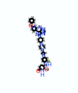 Nc1ncnc2c1c(-c1ccc(Oc3ccccc3)cc1)nn2C1CCC(N2CCN(C3CN(c4ccc(NC5CCC(=O)NC5=O)c(F)c4)C3)CC2)CC1